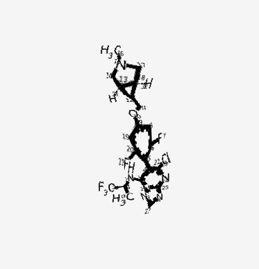 C[C@H](Nc1c(-c2c(F)cc(OCC3[C@H]4CN(C)C[C@@H]34)cc2F)c(Cl)nc2ncnn12)C(F)(F)F